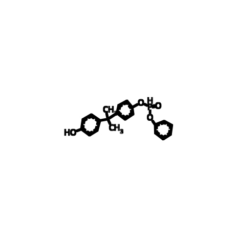 CC(C)(c1ccc(O)cc1)c1ccc(O[PH](=O)Oc2ccccc2)cc1